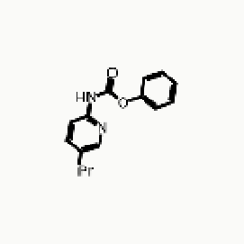 CC(C)c1ccc(NC(=O)Oc2ccccc2)nc1